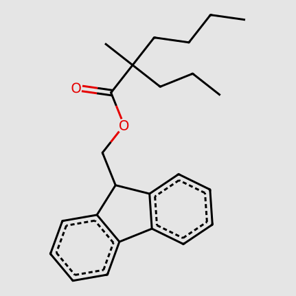 CCCCC(C)(CCC)C(=O)OCC1c2ccccc2-c2ccccc21